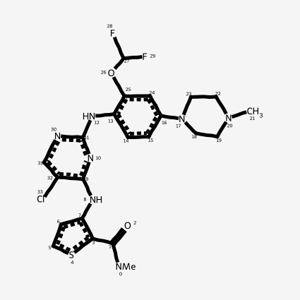 CNC(=O)c1sccc1Nc1nc(Nc2ccc(N3CCN(C)CC3)cc2OC(F)F)ncc1Cl